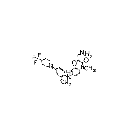 Cc1cc(N2CCC(C(F)(F)F)CC2)ccc1Nc1ccc2c(c1)OC(CN)C(=O)N2C